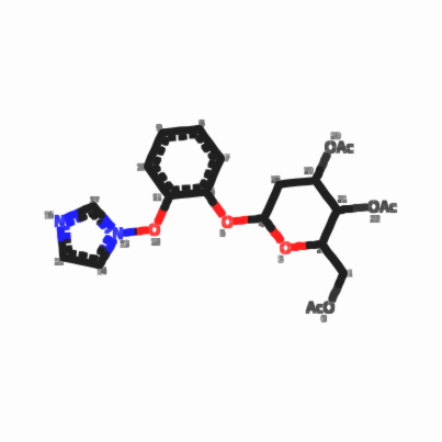 CC(=O)OCC1OC(Oc2ccccc2On2ccnc2)CC(OC(C)=O)C1OC(C)=O